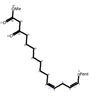 CCCCC/C=C\C/C=C\CCCCCCCC(=O)CC(=O)OC